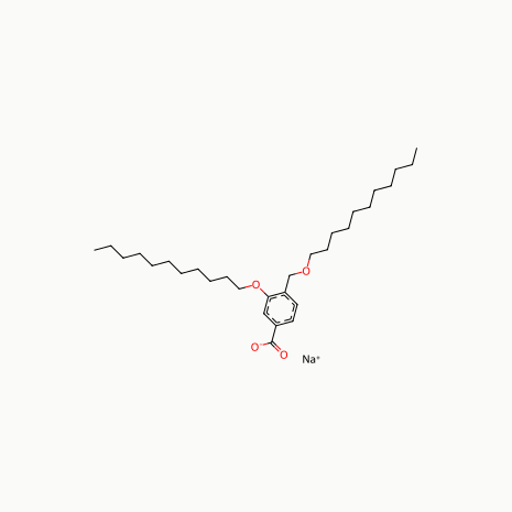 CCCCCCCCCCCOCc1ccc(C(=O)[O-])cc1OCCCCCCCCCCC.[Na+]